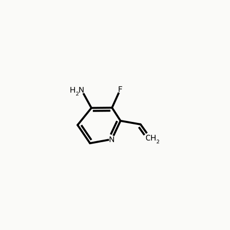 C=Cc1nccc(N)c1F